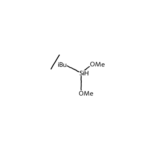 CC.CCC(C)[SiH](OC)OC